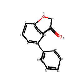 O=C1COc2cccc(-c3ccccc3)c21